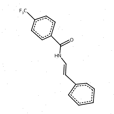 O=C(NC=Cc1ccccc1)c1ccc(C(F)(F)F)cc1